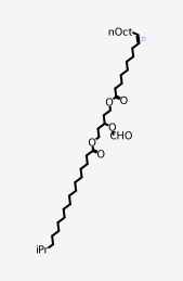 CCCCCCCC/C=C\CCCCCCCC(=O)OCCC(CCOC(=O)CCCCCCCCCCCCCCC(C)C)OC=O